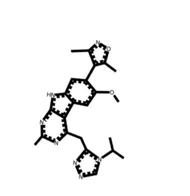 COc1cc2c(cc1-c1c(C)noc1C)[nH]c1nc(C)nc(Cc3nncn3C(C)C)c12